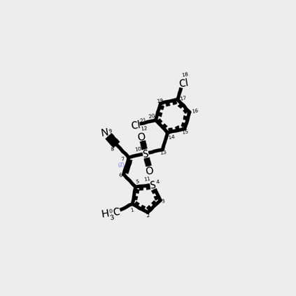 Cc1ccsc1/C=C(/C#N)S(=O)(=O)Cc1ccc(Cl)cc1Cl